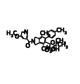 COc1cncc(C(=O)N2Cc3c(C)c(-c4ccc(C)cc4)c([C@H](OC(C)(C)C)C(=O)O)c(C)c3C2)c1